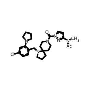 CC(=O)N(C)c1ccn(C(=O)N2CCC3(CCCN3Cc3ccc(Cl)cc3N3CCCC3)CC2)n1